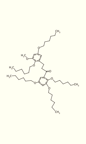 CCCCCCOc1cc(CCC(=O)c2cc(OCCCCCC)cc(OCCCCCC)c2OCCCCCC)c(OCCCCCC)c(OC)c1